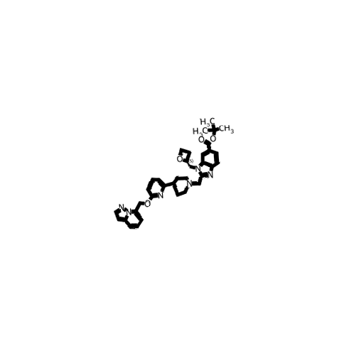 CC(C)(C)OC(=O)c1ccc2nc(CN3CCC(c4cccc(OCc5cccc6ccnn56)n4)CC3)n(C[C@@H]3CCO3)c2c1